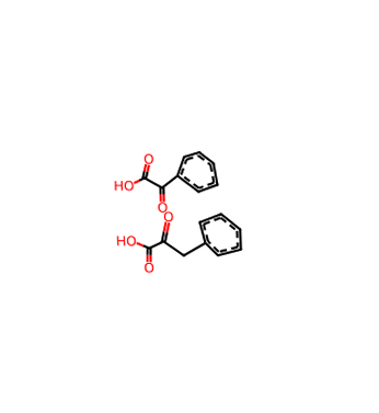 O=C(O)C(=O)Cc1ccccc1.O=C(O)C(=O)c1ccccc1